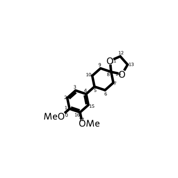 COc1ccc(C2CCC3(CC2)OCCO3)cc1OC